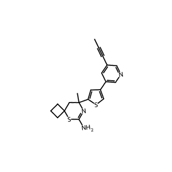 CC#Cc1cncc(-c2csc(C3(C)CC4(CCC4)SC(N)=N3)c2)c1